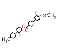 CCOCc1ccc(C2CCC(C(=O)Oc3ccc(C4CCC(C)CC4)c(F)c3F)CC2)cc1F